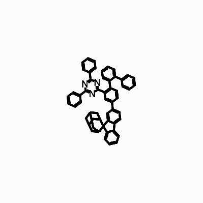 c1ccc(-c2nc(-c3ccccc3)nc(-c3cc(-c4ccc5c(c4)C4(c6ccccc6-5)C5CC6CC(C5)CC4C6)ccc3-c3ccccc3-c3ccccc3)n2)cc1